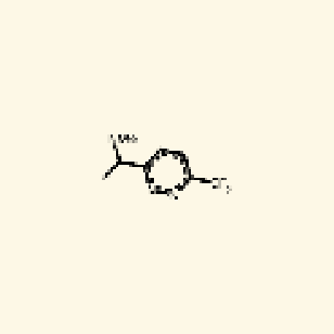 CNC(C)c1ccc(C(F)(F)F)nn1